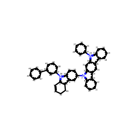 C1=Cc2c(c3cc(-n4c5ccccc5c5cc6c7ccccc7n(-c7ccccc7)c6cc54)ccc3n2-c2cccc(-c3ccccc3)c2)CC1